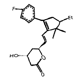 CCC1CC(c2ccc(F)cc2)=C(/C=C/[C@@H]2C[C@@H](O)CC(=O)O2)C1(C)C